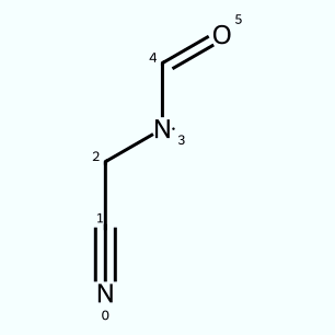 N#CC[N]C=O